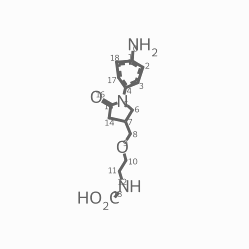 Nc1ccc(N2CC(COCCNC(=O)O)CC2=O)cc1